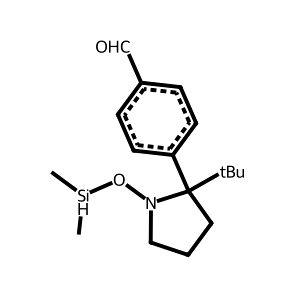 C[SiH](C)ON1CCCC1(c1ccc(C=O)cc1)C(C)(C)C